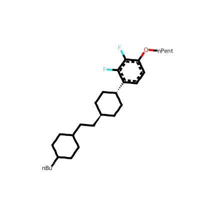 CCCCCOc1ccc([C@H]2CC[C@H](CCC3CCC(CCCC)CC3)CC2)c(F)c1F